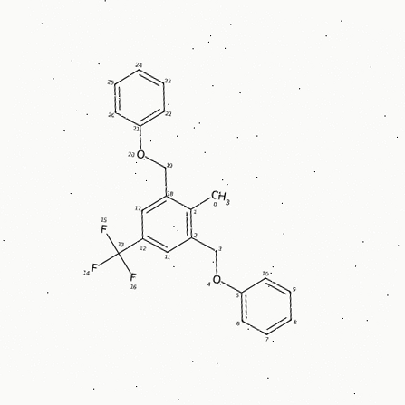 Cc1c(COc2ccccc2)cc(C(F)(F)F)cc1COc1ccccc1